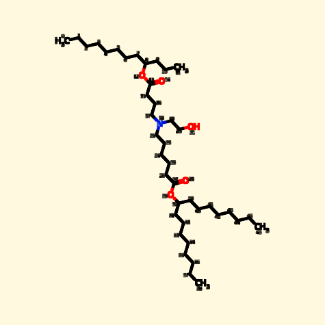 CCCCCCCCC(CCC)OC(=O)CCCN(CCO)CCCCCC(=O)OC(CCCCCCCC)CCCCCCCC